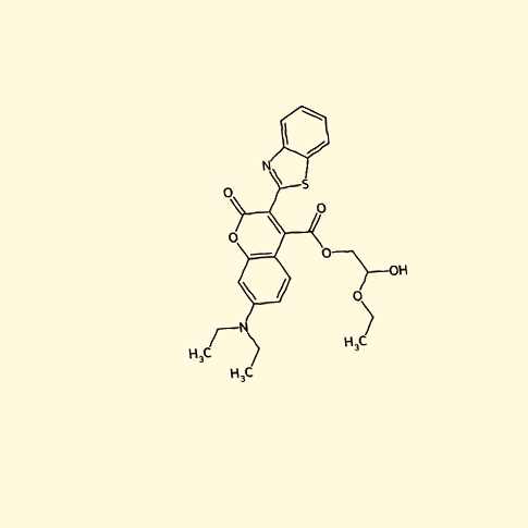 CCOC(O)COC(=O)c1c(-c2nc3ccccc3s2)c(=O)oc2cc(N(CC)CC)ccc12